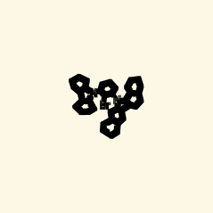 Brc1c(-n2c3ccccc3c3ccccc32)cccc1-n1c2cc3ccccc3cc2c2ccc3ccccc3c21